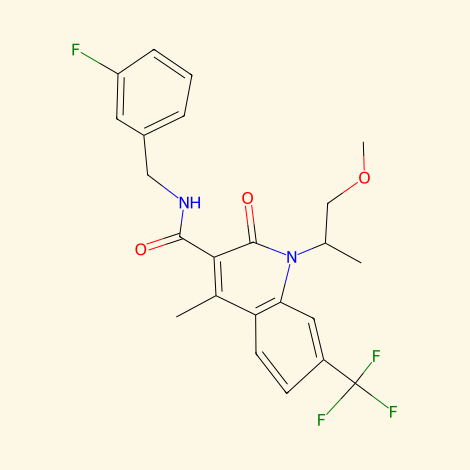 COCC(C)n1c(=O)c(C(=O)NCc2cccc(F)c2)c(C)c2ccc(C(F)(F)F)cc21